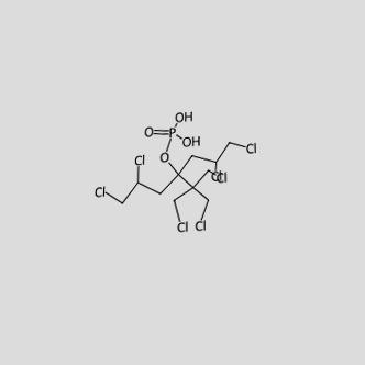 O=P(O)(O)OC(CC(Cl)CCl)(CC(Cl)CCl)C(CCl)(CCl)CCl